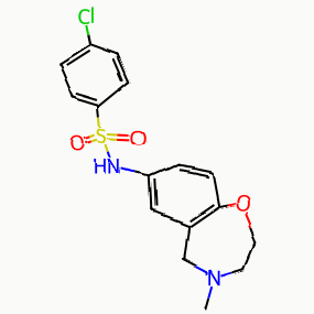 CN1CCOc2ccc(NS(=O)(=O)c3ccc(Cl)cc3)cc2C1